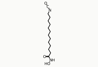 O=C=NCCCCCCCCCCCCC(=O)NO